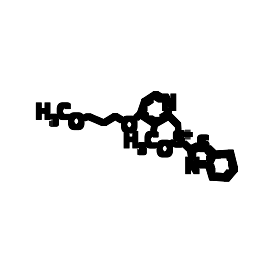 COCCCOc1ccnc(C[S+]([O-])c2nc3ccccc3s2)c1C